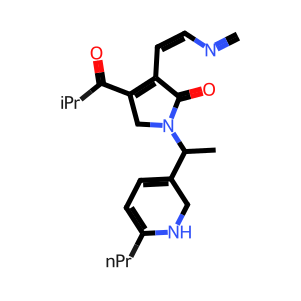 C=N/C=C\C1=C(C(=O)C(C)C)CN(C(C)C2=CC=C(CCC)NC2)C1=O